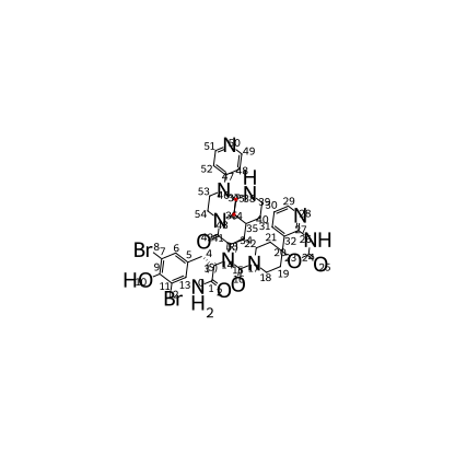 NC(=O)[C@H](Cc1cc(Br)c(O)c(Br)c1)N(C(=O)N1CCC2(CC1)OC(=O)Nc1ncccc12)[C@H](CC1CCNCC1)C(=O)N1CCN(c2ccncc2)CC1